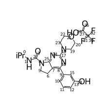 CC(C)NC(=O)N1CCc2c(-c3cccc(O)c3)nc(N3CCOCC3)nc21.O=C(O)C(F)(F)F